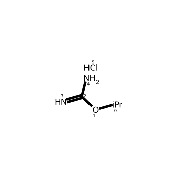 CC(C)OC(=N)N.Cl